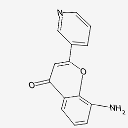 Nc1cccc2c(=O)cc(-c3cccnc3)oc12